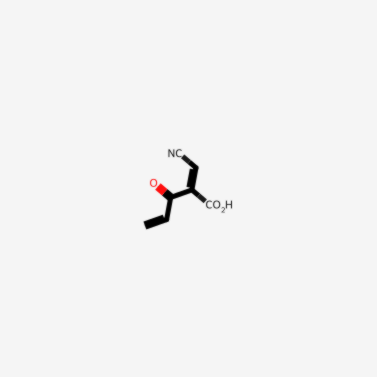 C=CC(=O)C(=CC#N)C(=O)O